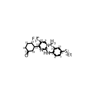 CCSc1ccc(Nc2ncc(C(F)(F)F)c(C3CCCC(=O)C3)n2)c(C)c1